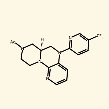 CC(=O)N1CCN2c3ncccc3N(c3ccc(C(F)(F)F)cn3)C[C@@H]2C1